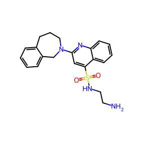 NCCNS(=O)(=O)c1cc(N2CCCc3ccccc3C2)nc2ccccc12